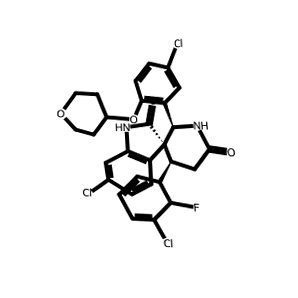 O=C1C[C@@H](C2C=CC=C(Cl)C2F)[C@]2(C(=O)Nc3cc(Cl)ccc32)[C@@H](c2cc(Cl)ccc2OC2CCOCC2)N1